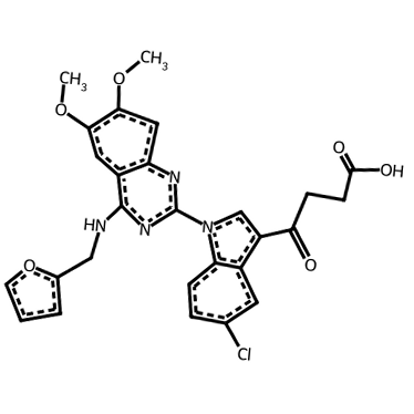 COc1cc2nc(-n3cc(C(=O)CCC(=O)O)c4cc(Cl)ccc43)nc(NCc3ccco3)c2cc1OC